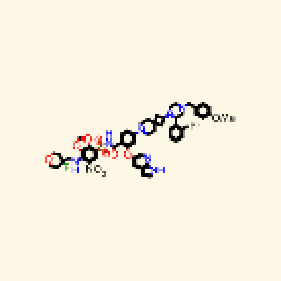 COc1ccc(CN2CCN(C3CC4(CCN(c5ccc(C(=O)NS(=O)(=O)c6cc([N+](=O)[O-])c(NCC7(F)CCOCC7)c7c6OCO7)c(Oc6cnc7[nH]ccc7c6)c5)CC4)C3)[C@H](c3ccccc3C(C)C)C2)cc1